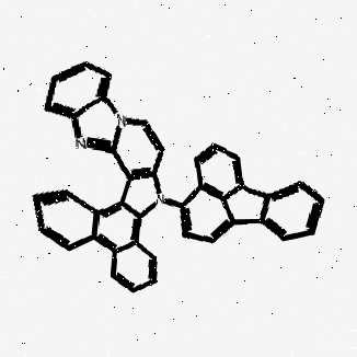 c1ccc2c(c1)-c1cccc3c(-n4c5ccn6c7ccccc7nc6c5c5c6ccccc6c6ccccc6c54)ccc-2c13